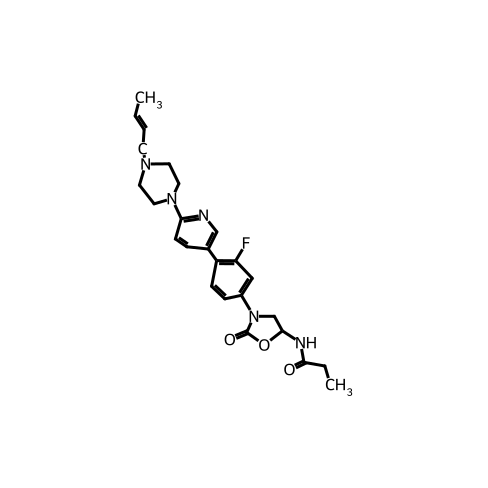 C/C=C/CN1CCN(c2ccc(-c3ccc(N4CC(NC(=O)CC)OC4=O)cc3F)cn2)CC1